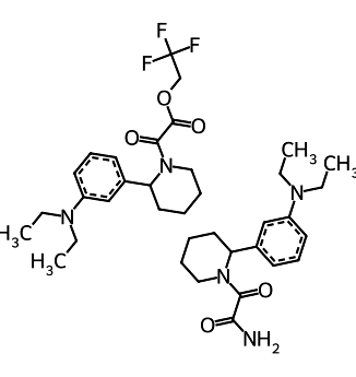 CCN(CC)c1cccc(C2CCCCN2C(=O)C(=O)OCC(F)(F)F)c1.CCN(CC)c1cccc(C2CCCCN2C(=O)C(N)=O)c1